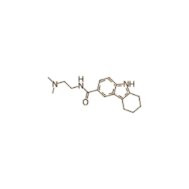 CN(C)CCNC(=O)c1ccc2[nH]c3c(c2c1)CCCC3